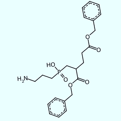 NCCCP(=O)(O)CC(CCC(=O)OCc1ccccc1)C(=O)OCc1ccccc1